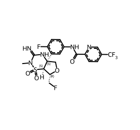 CN1C(=N)N[C@@]2(c3cc(NC(=O)c4ccc(C(F)(F)F)cn4)ccc3F)CO[C@H](CF)[C@H]2S1(=O)=O